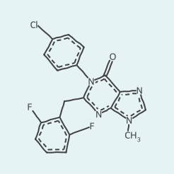 Cn1cnc2c(=O)n(-c3ccc(Cl)cc3)c(Cc3c(F)cccc3F)nc21